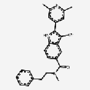 Cc1cc(-c2[nH]c3ccc(C(=O)N(C)CCc4ccccc4)cc3c2C(C)C)cc(C)n1